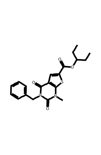 CCC(CC)OC(=O)c1cc2c(=O)n(Cc3ccccc3)c(=O)n(C)c2s1